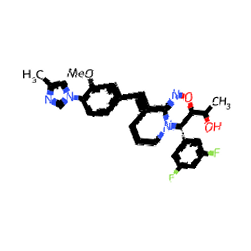 COc1cc(/C=C2\CCCN3C2=NOC(C(C)O)[C@@H]3c2cc(F)cc(F)c2)ccc1-n1cnc(C)c1